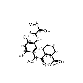 COC(=O)C1=C(C(=O)N(C(C)=O)c2cc(SC(C)C(=O)OC)c(Cl)cc2F)CCCC1